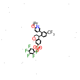 CC(C)Oc1ccc(-c2cc(C(F)(F)F)ccc2C2CCOc3cc(S(=O)(=O)Oc4c(F)c(F)c(F)c(F)c4F)ccc32)cn1